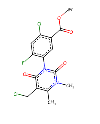 Cc1c(CCl)c(=O)n(-c2cc(C(=O)OC(C)C)c(Cl)cc2F)c(=O)n1C